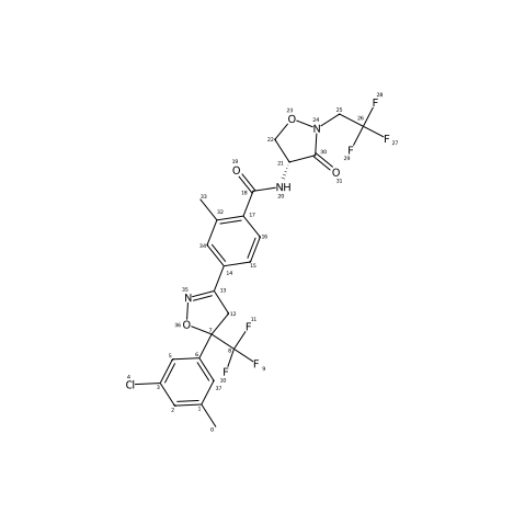 Cc1cc(Cl)cc(C2(C(F)(F)F)CC(c3ccc(C(=O)N[C@@H]4CON(CC(F)(F)F)C4=O)c(C)c3)=NO2)c1